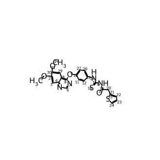 COc1cc2ncnc(Oc3ccc(NC(=S)NC(=O)Cc4cccs4)cc3)c2cc1OC